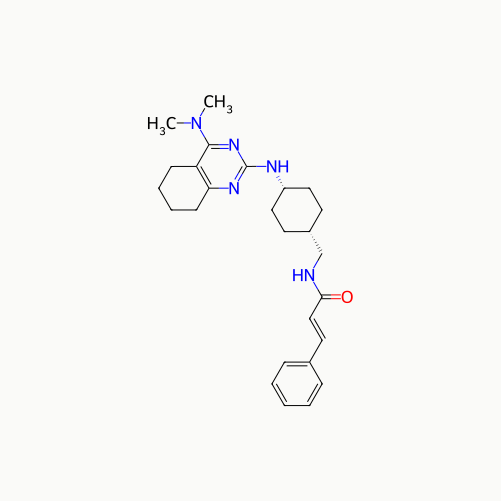 CN(C)c1nc(N[C@H]2CC[C@@H](CNC(=O)C=Cc3ccccc3)CC2)nc2c1CCCC2